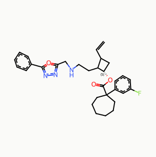 C=CC1C[C@H](OC(=O)C2(c3cccc(F)c3)CCCCCC2)C1CCNCc1nnc(-c2ccccc2)o1